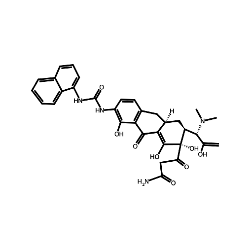 C=C(O)[C@H]([C@@H]1C[C@@H]2Cc3ccc(NC(=O)Nc4cccc5ccccc45)c(O)c3C(=O)C2=C(O)[C@]1(O)C(=O)CC(N)=O)N(C)C